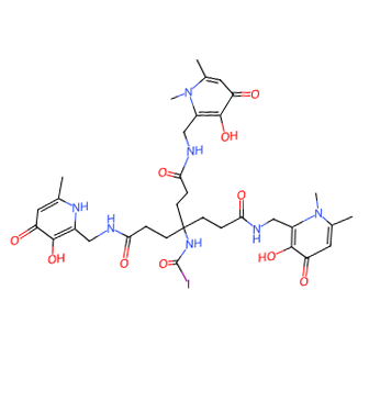 Cc1cc(=O)c(O)c(CNC(=O)CCC(CCC(=O)NCc2c(O)c(=O)cc(C)n2C)(CCC(=O)NCc2c(O)c(=O)cc(C)n2C)NC(=O)I)[nH]1